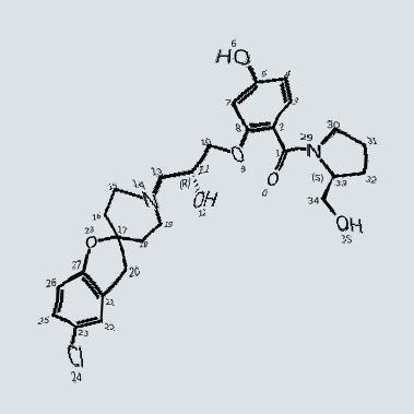 O=C(c1ccc(O)cc1OC[C@H](O)CN1CCC2(CC1)Cc1cc(Cl)ccc1O2)N1CCC[C@H]1CO